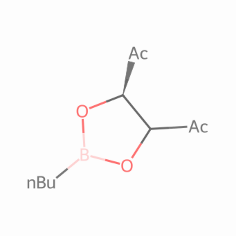 CCCCB1OC(C(C)=O)[C@H](C(C)=O)O1